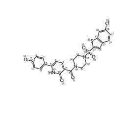 O=C(c1ccc(-c2cc[n+]([O-])cc2)[nH]c1=O)N1CCN(S(=O)(=O)c2cc3ccc(Cl)cc3s2)CC1